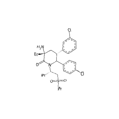 CC[C@@]1(N)C[C@H](c2cccc(Cl)c2)C(c2ccc(Cl)cc2)N([C@H](CS(=O)(=O)C(C)C)C(C)C)C1=O